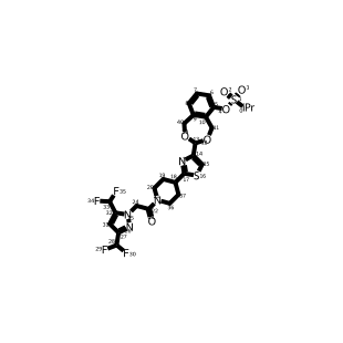 CC(C)S(=O)(=O)Oc1cccc2c1COC(c1csc(C3CCN(C(=O)Cn4nc(C(F)F)cc4C(F)F)CC3)n1)OC2